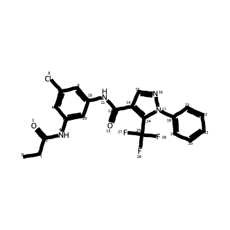 CCC(=O)Nc1cc(Cl)cc(NC(=O)c2cnn(-c3ccccc3)c2C(F)(F)F)c1